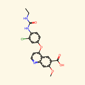 CCNC(=O)Nc1ccc(Oc2ccnc3cc(OC)c(C(=O)O)cc23)cc1Cl